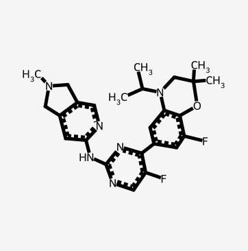 CC(C)N1CC(C)(C)Oc2c(F)cc(-c3nc(Nc4cc5c(cn4)CN(C)C5)ncc3F)cc21